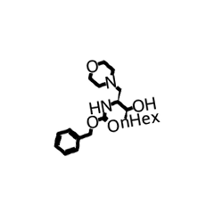 CCCCCC[C@H](O)[C@H](CN1CCOCC1)NC(=O)OCc1ccccc1